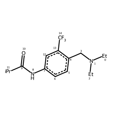 CCN(CC)Cc1ccc(NC(=O)C(C)C)cc1C(F)(F)F